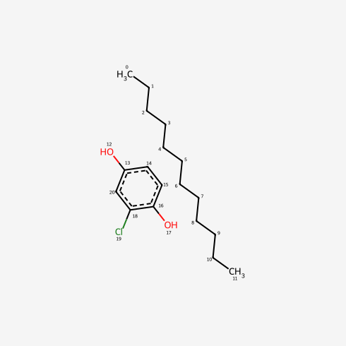 CCCCCCCCCCCC.Oc1ccc(O)c(Cl)c1